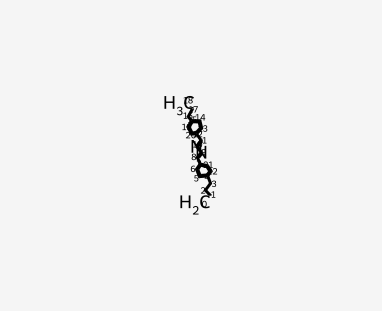 C=CCCc1ccc(C=NN=Cc2ccc(CCC)cc2)cc1